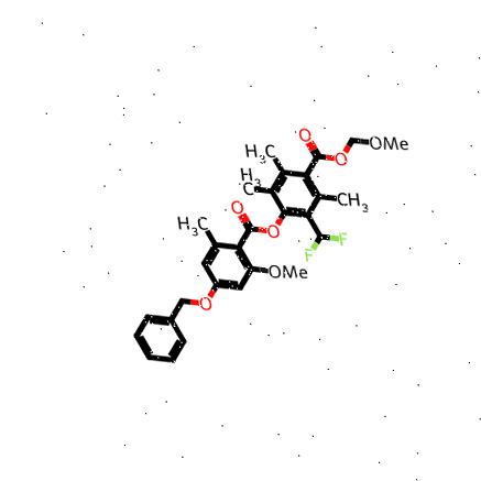 COCOC(=O)c1c(C)c(C)c(OC(=O)c2c(C)cc(OCc3ccccc3)cc2OC)c(C(F)F)c1C